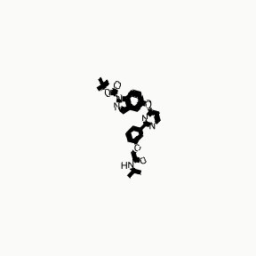 CC(C)NC(=O)COc1cccc(-c2nccc(Oc3ccc4c(cnn4C(=O)OC(C)(C)C)c3)n2)c1